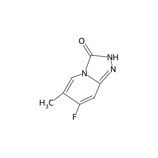 Cc1cn2c(=O)[nH]nc2cc1F